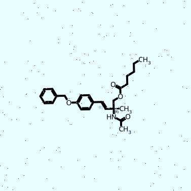 CCCCCC(=O)OC[C@@](C)(/C=C/c1ccc(OCc2ccccc2)cc1)NC(C)=O